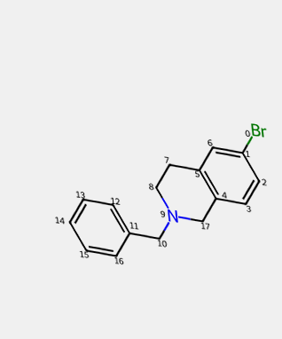 Brc1ccc2c(c1)CCN(Cc1ccccc1)C2